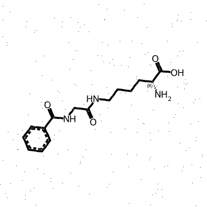 N[C@H](CCCCNC(=O)CNC(=O)c1ccccc1)C(=O)O